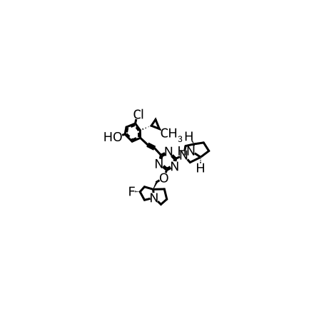 C[C@H]1C[C@H]1c1c(Cl)cc(O)cc1C#Cc1nc(OC[C@@]23CCCN2C[C@H](F)C3)nc(N2C[C@H]3CC[C@@H](C2)N3)n1